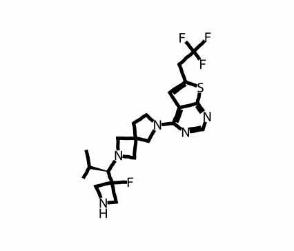 CC(C)[C@@H](N1CC2(CCN(c3ncnc4sc(CC(F)(F)F)cc34)C2)C1)C1(F)CNC1